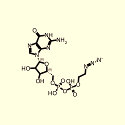 [N-]=[N+]=NCCOP(=O)(O)OP(=O)(O)OC[C@H]1O[C@@H](n2cnc3c(=O)[nH]c(N)nc32)C(O)C1O